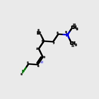 CCC(C/C=C\CF)CCN(C)C